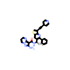 C[C@@H](NC(=O)c1c(N)nn2cccnc12)c1cc2scc(C#Cc3ccncc3)c2nc1-c1ccccc1